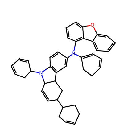 C1=CCCC(N(c2ccc3c(c2)C2CC(C4CC=CCC4)C=CC2N3C2C=CC=CC2)c2cccc3oc4ccccc4c23)=C1